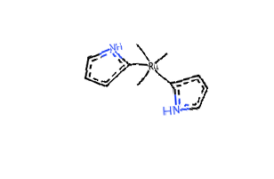 [CH3][Ru]([CH3])([CH3])([c]1ccc[nH]1)[c]1ccc[nH]1